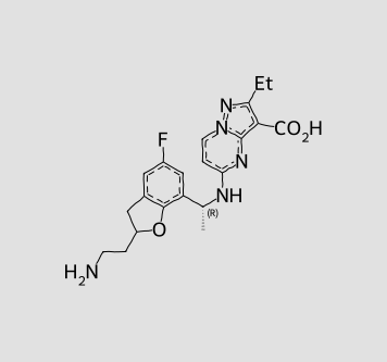 CCc1nn2ccc(N[C@H](C)c3cc(F)cc4c3OC(CCN)C4)nc2c1C(=O)O